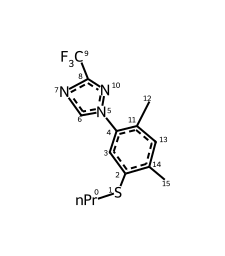 CCCSc1cc(-n2cnc(C(F)(F)F)n2)c(C)cc1C